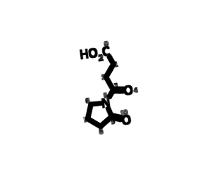 O=C(O)CCC(=O)N1CCCC1=O